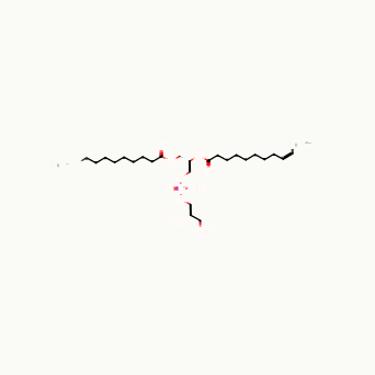 CCCCC/C=C\CCCCCCCC(=O)O[C@H](COC(=O)CCCCCCCCCCCCCCCCCC)COP(=O)(O)OC[C@@H](O)CO